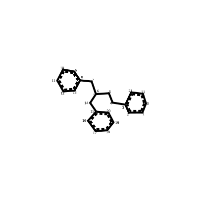 c1ccc(CC[C](Cc2ccccc2)Cc2ccccc2)cc1